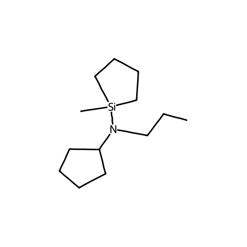 CCCN(C1CCCC1)[Si]1(C)CCCC1